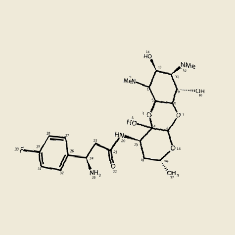 CNC1C2OC3(O)C(OC2[C@@H](O)[C@H](NC)[C@@H]1O)O[C@H](C)C[C@H]3NC(=O)C[C@@H](N)c1ccc(F)cc1